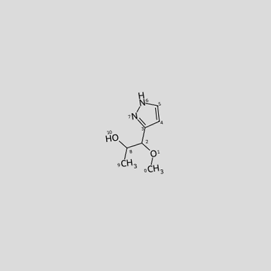 COC(c1cc[nH]n1)C(C)O